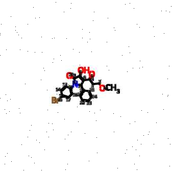 COCCC(=O)C1=C(O)C(=O)N(c2ccc(Br)cc2)C1c1ccccc1